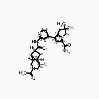 CC(=O)N1C[C@@H]2C3[C@@H](C(=O)Nc4cc(-c5cc(C(N)=O)n6c5CC(C)(C)C6)ccn4)C[C@@H]2[C@H]3C1